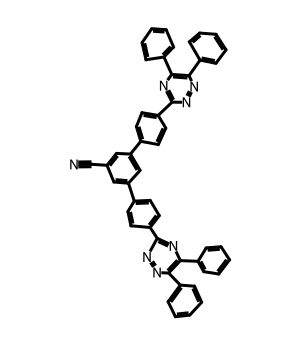 N#Cc1cc(-c2ccc(-c3nnc(-c4ccccc4)c(-c4ccccc4)n3)cc2)cc(-c2ccc(-c3nnc(-c4ccccc4)c(-c4ccccc4)n3)cc2)c1